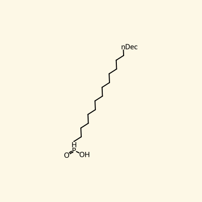 CCCCCCCCCCCCCCCCCCCCCCCC[PH](=O)O